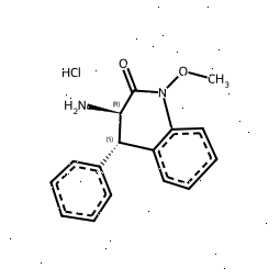 CON1C(=O)[C@H](N)[C@@H](c2ccccc2)c2ccccc21.Cl